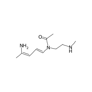 CNCCN(/C=C/C=C(/C)N)C(C)=O